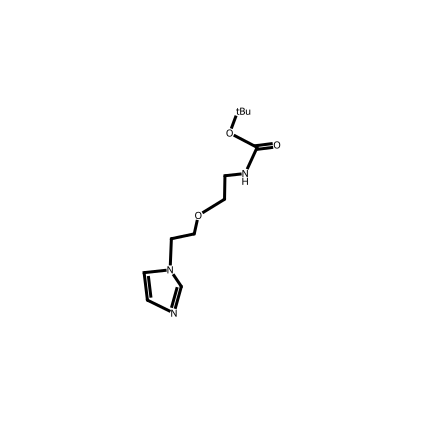 CC(C)(C)OC(=O)NCCOCCn1ccnc1